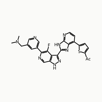 CC(=O)c1ccc(-c2ccnc3[nH]c(-c4n[nH]c5cnc(-c6cncc(CN(C)C)c6)c(F)c45)nc23)s1